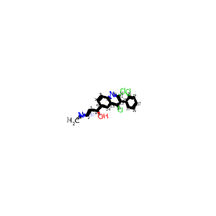 C=N/C=C/C(O)c1ccc2nc(Cl)c(-c3ccccc3Cl)c(Cl)c2c1